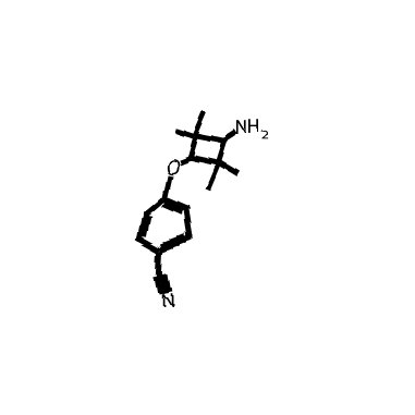 CC1(C)C(N)C(C)(C)C1Oc1ccc(C#N)cc1